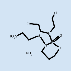 N.O=P1(N(CCCl)CCCl)OCCCN1SCCS(=O)(=O)O